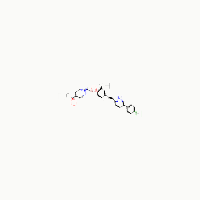 Cc1cc(C#Cc2ccc(-c3ccc(Cl)cc3)cn2)ccc1OCCN1CCC(C(=O)C(F)(F)F)CC1